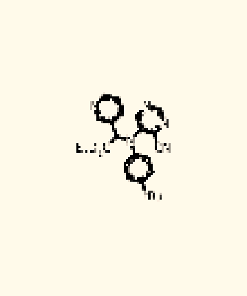 CCOC(=O)C(c1cccnc1)N(c1ccc(C(C)(C)C)cc1)c1cncnc1C#N